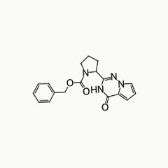 O=C(OCc1ccccc1)N1CCCC1c1nn2cccc2c(=O)[nH]1